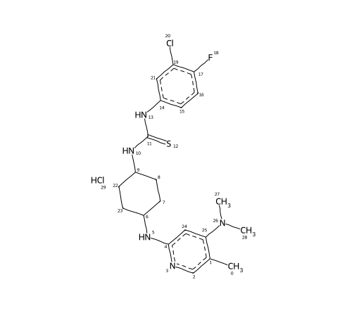 Cc1cnc(NC2CCC(NC(=S)Nc3ccc(F)c(Cl)c3)CC2)cc1N(C)C.Cl